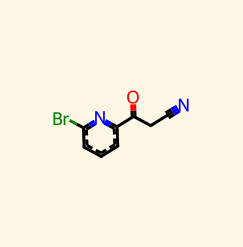 N#CCC(=O)c1cccc(Br)n1